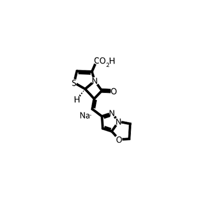 O=C(O)C1=CS[C@@H]2C(=Cc3cc4n(n3)CCO4)C(=O)N12.[Na]